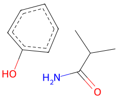 CC(C)C(N)=O.Oc1ccccc1